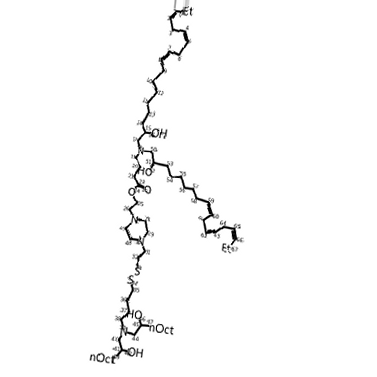 CC/C=C\C/C=C\C/C=C\CCCCCCC(O)CN(CCCC(=O)OCCN1CCN(CCSSCCCCN(CC(O)CCCCCCCC)CC(O)CCCCCCCC)CC1)CC(O)CCCCCC/C=C\C/C=C\C/C=C\CC